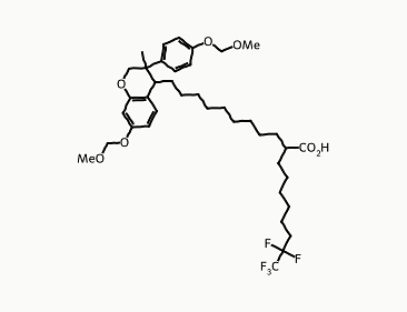 COCOc1ccc(C2(C)COc3cc(OCOC)ccc3C2CCCCCCCCCC(CCCCCCC(F)(F)C(F)(F)F)C(=O)O)cc1